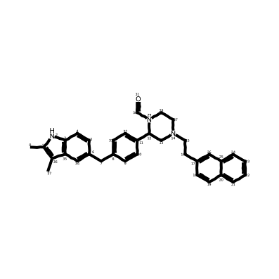 Cc1[nH]c2ccc(Cc3ccc(C4CN(CCc5ccc6ccccc6c5)CCN4C=O)cc3)cc2c1C